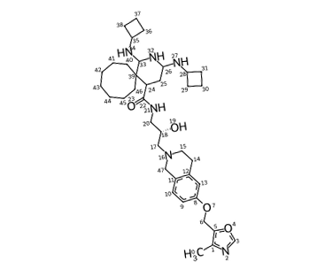 Cc1ncoc1COc1ccc2c(c1)CCN(C[C@@H](O)CNC(=O)C1CC(NC3CCC3)NC(NC3CCC3)C13CCCCCCC3)C2